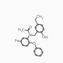 CCc1ccc(O)c(CN(C(C)=O)c2cc(F)ccc2Oc2ccccc2)c1